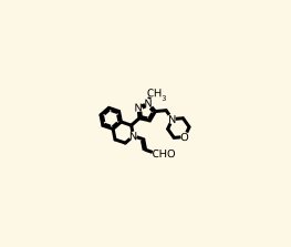 Cn1nc(C2c3ccccc3CCN2C=CC=O)cc1CN1CCOCC1